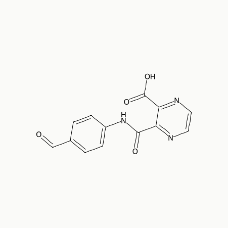 O=Cc1ccc(NC(=O)c2nccnc2C(=O)O)cc1